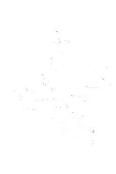 CCNc1ccc2cc(-c3nn(COCC[Si](C)(C)C)c4c3CCC(C)(C)C4)n(COCC[Si](C)(C)C)c2c1